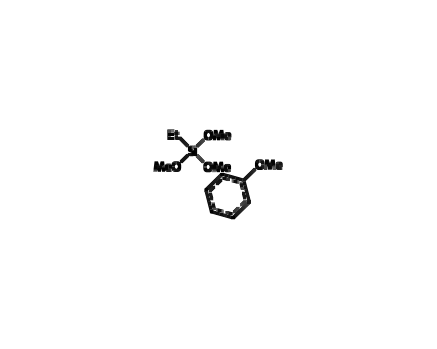 CC[Si](OC)(OC)OC.COc1ccccc1